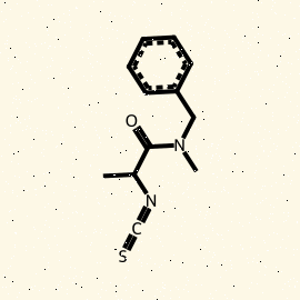 CC(N=C=S)C(=O)N(C)Cc1ccccc1